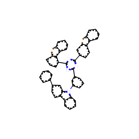 c1ccc(-c2ccc3c4ccccc4n(-c4cccc(-c5nc(-c6ccc7c(c6)sc6ccccc67)nc(-c6cccc7sc8ccccc8c67)n5)c4)c3c2)cc1